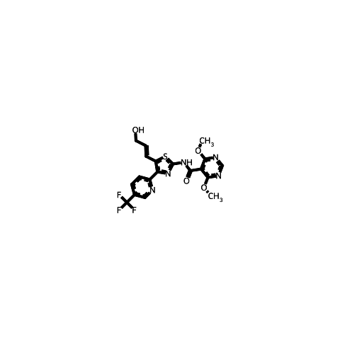 COc1ncnc(OC)c1C(=O)Nc1nc(-c2ccc(C(F)(F)F)cn2)c(/C=C/CO)s1